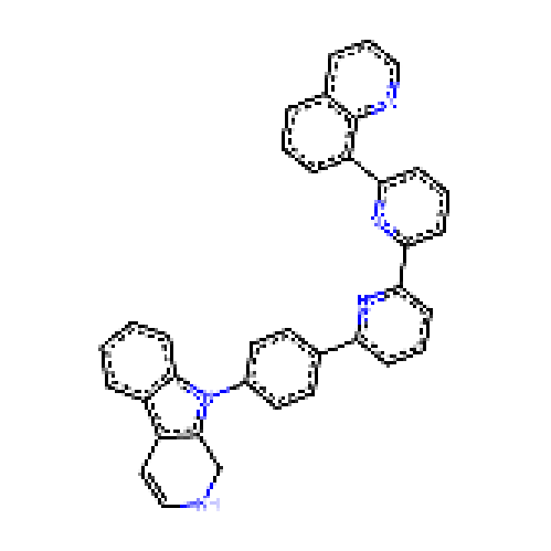 C1=Cc2c(n(-c3ccc(-c4cccc(-c5cccc(-c6cccc7cccnc67)n5)n4)cc3)c3ccccc23)CN1